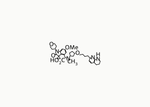 COc1cc(C(C(=O)O)N(C)[C@H]2CC[C@H](OCCCCc3ccc4c(n3)NCCC4)C2)c2c(c1)N(C1CCOCC1)C(=O)C21CC1